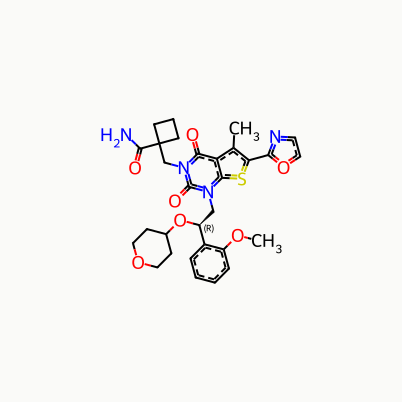 COc1ccccc1[C@H](Cn1c(=O)n(CC2(C(N)=O)CCC2)c(=O)c2c(C)c(-c3ncco3)sc21)OC1CCOCC1